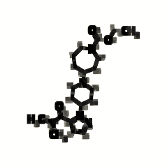 CCOC(=O)N1CCCC(N2CCC(n3nccc3C(=O)N(C)C)CC2)CC1